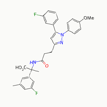 COc1ccc(-n2nc(CCC(=O)NC(C)(C(=O)O)c3cc(C)cc(F)c3)cc2-c2cccc(F)c2)cc1